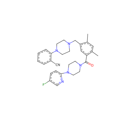 Cc1cc(C)c(C(=O)N2CCN(c3ccc(F)cn3)CC2)cc1CN1CCN(c2ccccc2C#N)CC1